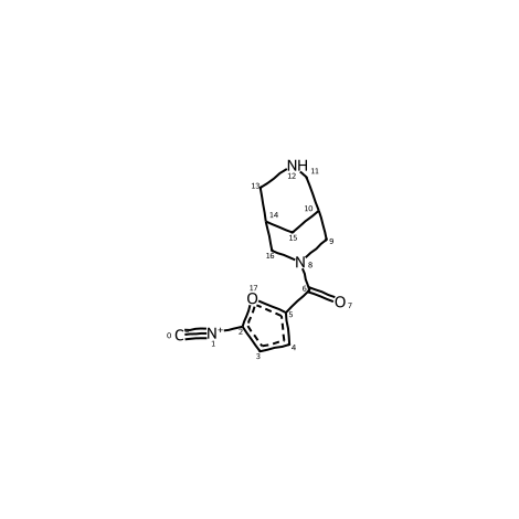 [C-]#[N+]c1ccc(C(=O)N2CC3CNCC(C3)C2)o1